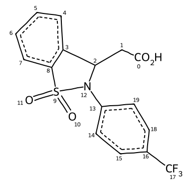 O=C(O)CC1c2ccccc2S(=O)(=O)N1c1ccc(C(F)(F)F)cc1